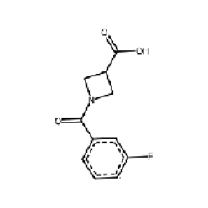 O=C(O)C1CN(C(=O)c2cc[c]c(F)c2)C1